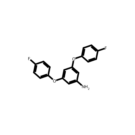 Nc1cc(Oc2ccc(F)cc2)cc(Oc2ccc(F)cc2)c1